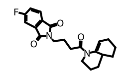 O=C(CCCN1C(=O)c2ccc(F)cc2C1=O)N1CCCC2CCCC=C21